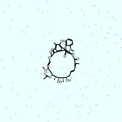 CO[C@H]1/C=C/O[C@@]2(C)Oc3c(C)c(O)c4c(=O)c(c5n(C)c6ccccc6nc-5c4c3C2=O)NC(=O)/C(C)=C\C=C\[C@H](C)[C@H](O)[C@@H](C)[C@@H](O)[C@@H](C)[C@H](OC(C)=O)[C@@H]1C